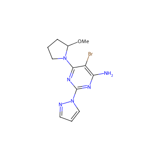 COC1CCCN1c1nc(-n2cccn2)nc(N)c1Br